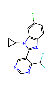 FC(F)c1ncncc1-c1nc2ccc(Cl)cc2n1C1CC1